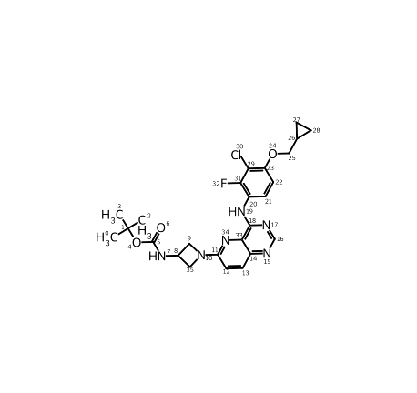 CC(C)(C)OC(=O)NC1CN(c2ccc3ncnc(Nc4ccc(OCC5CC5)c(Cl)c4F)c3n2)C1